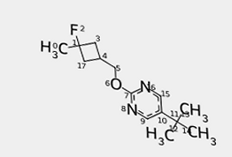 CC1(F)CC(COc2ncc(C(C)(C)C)cn2)C1